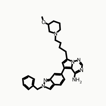 COC1CCCN(CCCCc2cc(-c3ccc4cn(Cc5ccccc5)nc4c3)c3c(N)ncnn23)C1